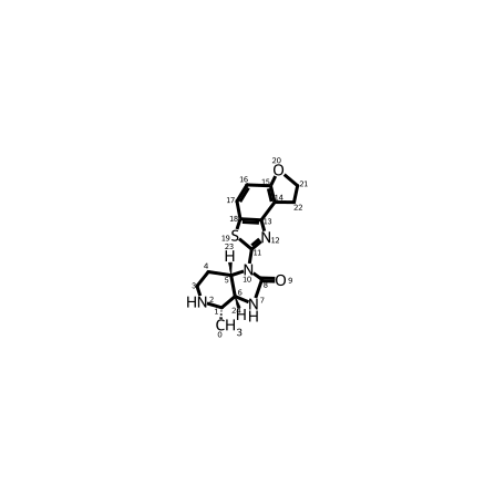 C[C@@H]1NCC[C@H]2[C@@H]1NC(=O)N2c1nc2c3c(ccc2s1)OCC3